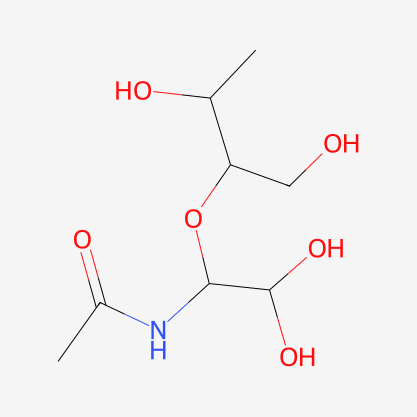 CC(=O)NC(OC(CO)C(C)O)C(O)O